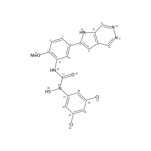 COc1ccc(-c2cc3cnncc3[nH]2)cc1NC(=O)N(S)c1cc(Cl)cc(Cl)c1